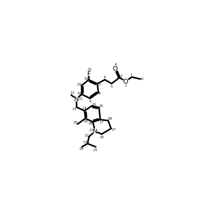 CCOC(=O)CCc1ccc(N(C)Cc2ccc3c(c2C)N(CC(C)C)CCC3)cc1F